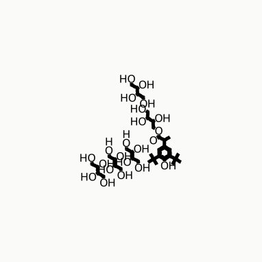 CC(C(=O)OCC(O)C(O)CO)c1cc(C(C)(C)C)c(O)c(C(C)(C)C)c1.OCC(O)C(O)CO.OCC(O)C(O)CO.OCC(O)C(O)CO.OCC(O)C(O)CO